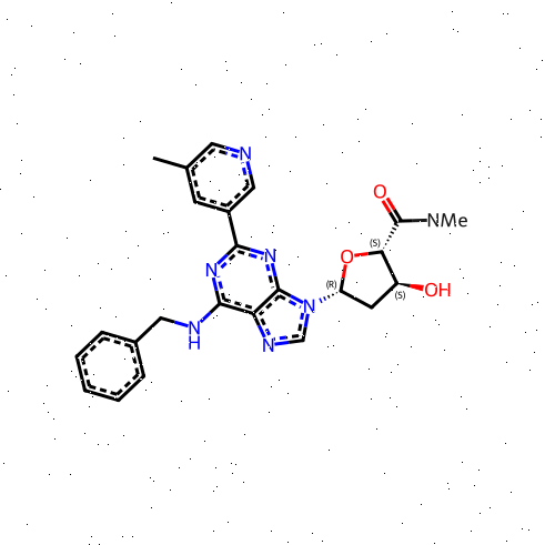 CNC(=O)[C@H]1O[C@@H](n2cnc3c(NCc4ccccc4)nc(-c4cncc(C)c4)nc32)C[C@@H]1O